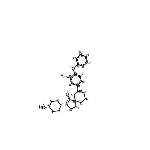 O=C1N([C@H]2CC[C@@H](O)CC2)CC[C@@]12CCCN(c1ccc(Oc3cccnc3)c(F)c1)C2